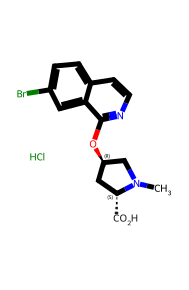 CN1C[C@H](Oc2nccc3ccc(Br)cc23)C[C@H]1C(=O)O.Cl